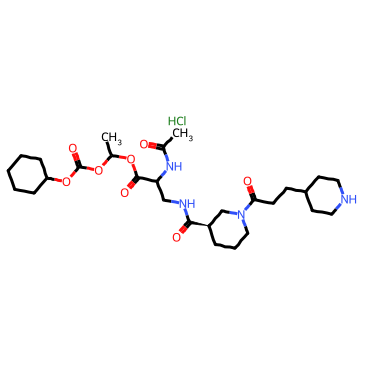 CC(=O)NC(CNC(=O)[C@@H]1CCCN(C(=O)CCC2CCNCC2)C1)C(=O)OC(C)OC(=O)OC1CCCCC1.Cl